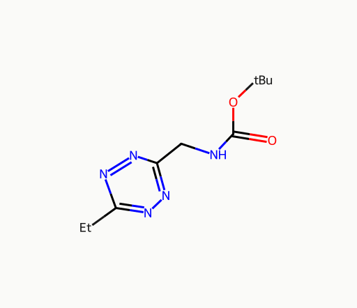 CCc1nnc(CNC(=O)OC(C)(C)C)nn1